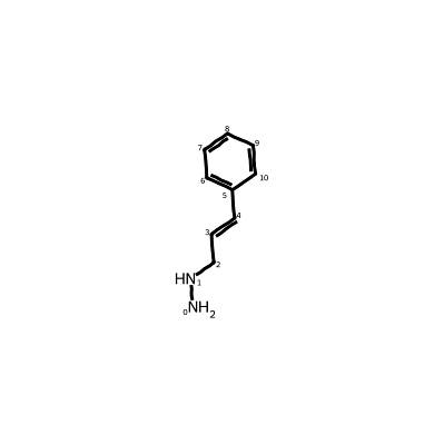 NNCC=Cc1ccccc1